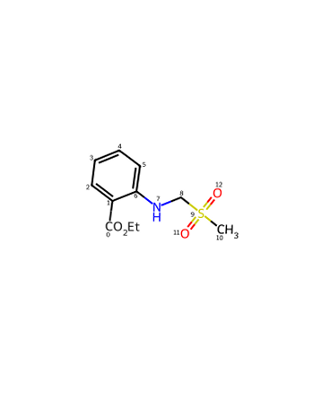 CCOC(=O)c1ccccc1NCS(C)(=O)=O